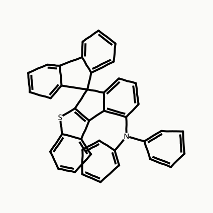 c1ccc(N(c2ccccc2)c2cccc3c2-c2c(sc4ccccc24)C32c3ccccc3-c3ccccc32)cc1